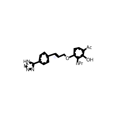 CCCc1c(OC/C=C/c2ccc(-c3nnn[nH]3)cc2)ccc(C(C)=O)c1O